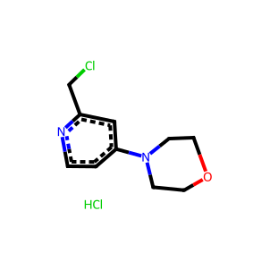 Cl.ClCc1cc(N2CCOCC2)ccn1